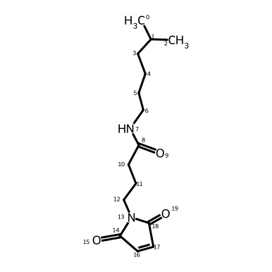 CC(C)CCCCNC(=O)CCCN1C(=O)C=CC1=O